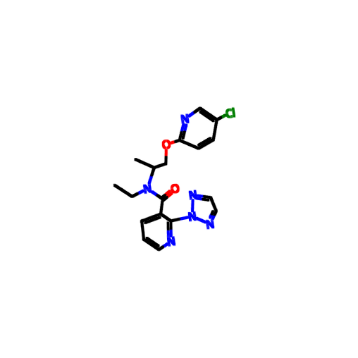 CCN(C(=O)c1cccnc1-n1nccn1)C(C)COc1ccc(Cl)cn1